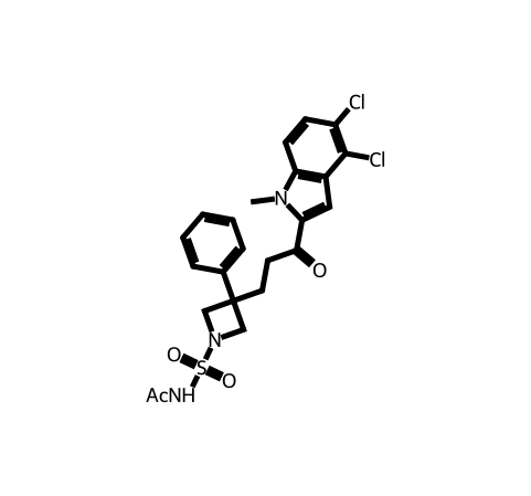 CC(=O)NS(=O)(=O)N1CC(CCC(=O)c2cc3c(Cl)c(Cl)ccc3n2C)(c2ccccc2)C1